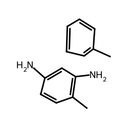 Cc1ccc(N)cc1N.Cc1ccccc1